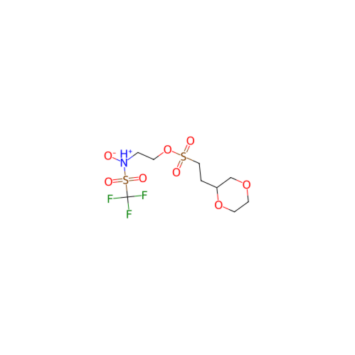 O=S(=O)(CCC1COCCO1)OCC[NH+]([O-])S(=O)(=O)C(F)(F)F